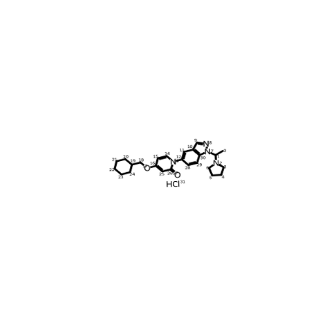 CC(N1CCCC1)n1ncc2cc(-n3ccc(OCC4CCCCC4)cc3=O)ccc21.Cl